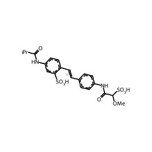 COC(C(=O)Nc1ccc(/C=C/c2ccc(NC(=O)C(C)C)cc2S(=O)(=O)O)cc1)S(=O)(=O)O